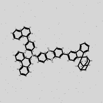 c1ccc2c(c1)-c1cc(-c3ccc4c(c3)Oc3ccc(N(c5ccc(-c6cccc7ccccc67)cc5)c5cc6ccccc6c6ccccc56)cc3S4)ccc1C21C2CC3CC(C2)CC1C3